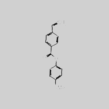 C=Cc1ccc(C(=O)Oc2ccc(OC)cc2)cc1